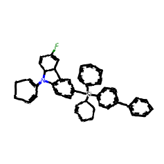 FC1=CC2c3cc([Si](c4ccccc4)(c4ccc(-c5ccccc5)cc4)C4C=CCCC4)ccc3N(C3=CCCC=C3)C2C=C1